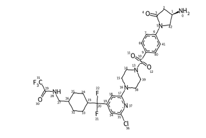 N[C@@H]1CC(=O)N(c2ccc(S(=O)(=O)N3CCN(c4cc(C(F)(F)C5CCC(CNC(=O)C(F)(F)F)CC5)cc(Cl)n4)CC3)cc2)C1